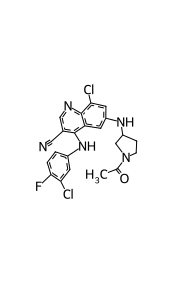 CC(=O)N1CCC(Nc2cc(Cl)c3ncc(C#N)c(Nc4ccc(F)c(Cl)c4)c3c2)C1